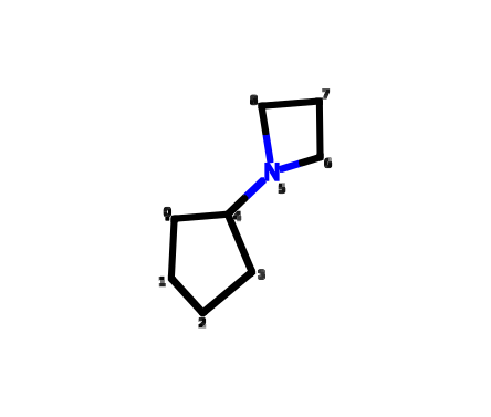 [CH]1CCCC1N1CCC1